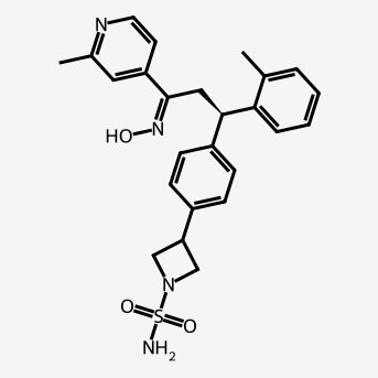 Cc1cc(C(C[C@H](c2ccc(C3CN(S(N)(=O)=O)C3)cc2)c2ccccc2C)=NO)ccn1